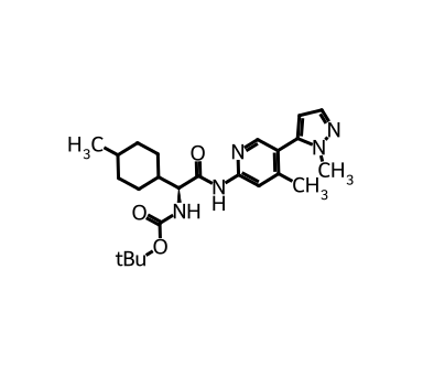 Cc1cc(NC(=O)[C@@H](NC(=O)OC(C)(C)C)C2CCC(C)CC2)ncc1-c1ccnn1C